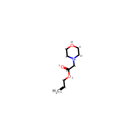 C=C[CH]OC(=O)CN1CCOCC1